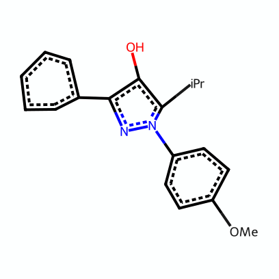 COc1ccc(-n2nc(-c3ccccc3)c(O)c2C(C)C)cc1